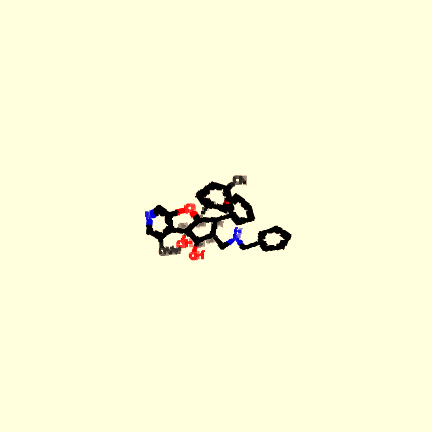 COc1cncc2c1[C@]1(O)[C@H](O)[C@H](CNCc3ccccc3)[C@H](c3ccccc3)[C@]1(c1ccc(C#N)cc1)O2